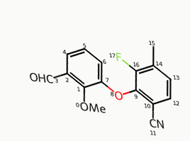 COc1c(C=O)cccc1Oc1c(C#N)ccc(C)c1F